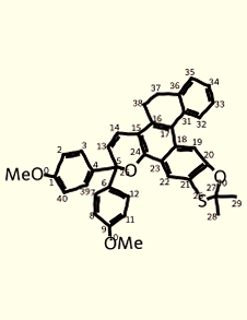 COc1ccc(C2(c3ccc(OC)cc3)C=Cc3c4c(c5cc6c(cc5c3O2)SC(C)(C)O6)-c2ccccc2CC4)cc1